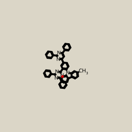 Cc1ccc2c3ccccc3n(-c3ccc(-c4cc(-c5ccccc5)nc(-c5ccccc5)n4)cc3-c3nc(-c4ccccc4)nc(-c4ccccc4)n3)c2c1